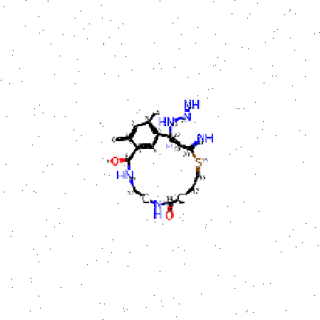 Cc1cc(C)c2cc1C(=O)NCCNC(=O)CCCSC(=N)/C=C/2NN=N